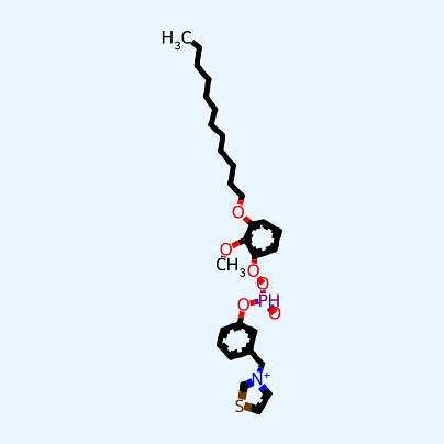 CCCCCCCCCCCCOc1cccc(OO[PH](=O)Oc2cccc(C[n+]3ccsc3)c2)c1OC